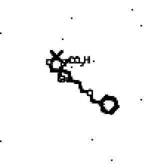 CC1(C)OCC(CCCCOCc2ccccc2)(C(C)(C)C)N1C(=O)O